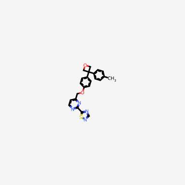 Cc1ccc(C2(c3ccc(OCc4ccnc(-c5ncns5)n4)cc3)COC2)cc1